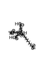 COC(=O)CCCCCCCCCCC(=O)NC(COCCC(=O)O)(COCCC(=O)O)COCCC(=O)OC(C)(C)C